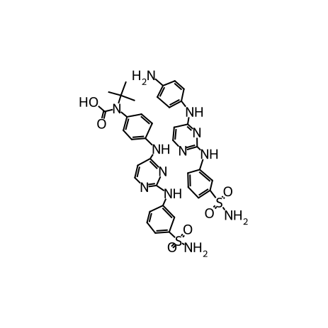 CC(C)(C)N(C(=O)O)c1ccc(Nc2ccnc(Nc3cccc(S(N)(=O)=O)c3)n2)cc1.Nc1ccc(Nc2ccnc(Nc3cccc(S(N)(=O)=O)c3)n2)cc1